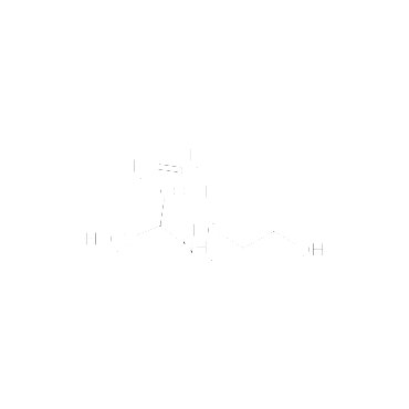 C=C.NC(C(=O)O)C(=O)O.OCCO